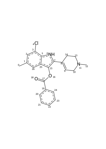 Cc1cc(Cl)c2[nH]c(C3=CCN(C)CC3)c(OC(=O)c3ccccc3)c2c1